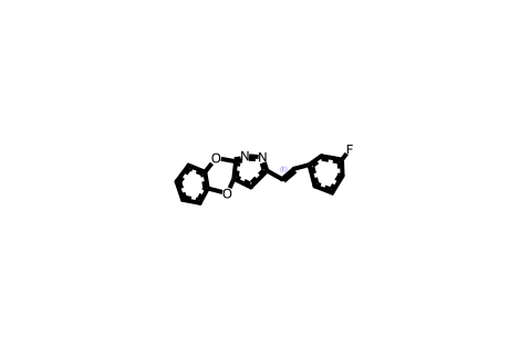 Fc1cccc(/C=C/c2cc3c(nn2)Oc2ccccc2O3)c1